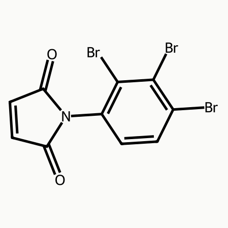 O=C1C=CC(=O)N1c1ccc(Br)c(Br)c1Br